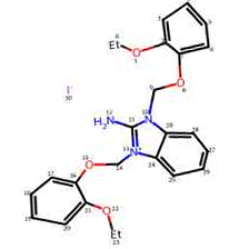 CCOc1ccccc1OCn1c(N)[n+](COc2ccccc2OCC)c2ccccc21.[I-]